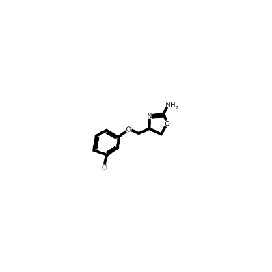 NC1=NC(COc2cccc(Cl)c2)CO1